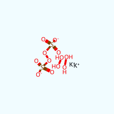 O=S(=O)([O-])OOS(=O)(=O)[O-].OO.OO.[K+].[K+]